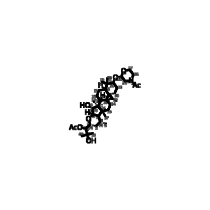 CC(=O)O[C@@H]([C@H]1C[C@@H](C)C2[C@H](O1)[C@H](O)[C@@]1(C)[C@@H]3CC[C@H]4C(C)(C)[C@@H](O[C@H]5CN(C(C)=O)CCO5)CC[C@@]45C[C@@]35CC[C@]21C)C(C)(C)O